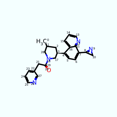 CC1C[C@@H](c2ccc(C3=NC3)c3ncccc23)CN(C(=O)Cc2cccnc2)C1